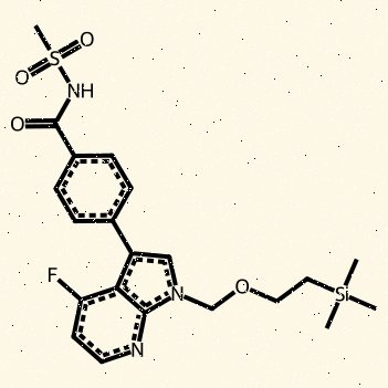 C[Si](C)(C)CCOCn1cc(-c2ccc(C(=O)NS(C)(=O)=O)cc2)c2c(F)ccnc21